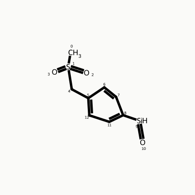 CS(=O)(=O)Cc1ccc([SiH]=O)cc1